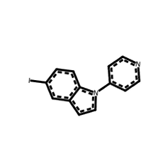 Ic1ccc2c(ccn2-c2ccncc2)c1